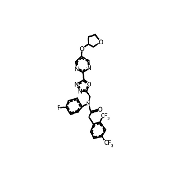 O=C(Cc1ccc(C(F)(F)F)cc1C(F)(F)F)N(Cc1nnc(-c2ncc(OC3CCOC3)cn2)o1)c1ccc(F)cc1